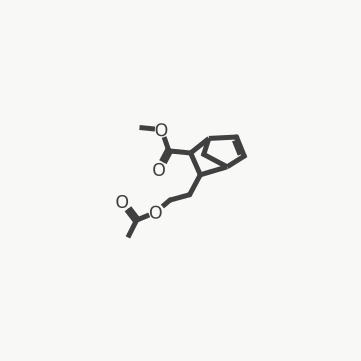 COC(=O)C1C2C=CC(C2)C1CCOC(C)=O